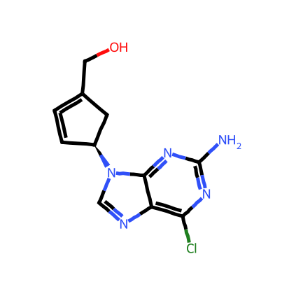 Nc1nc(Cl)c2ncn([C@H]3C=C=C(CO)C3)c2n1